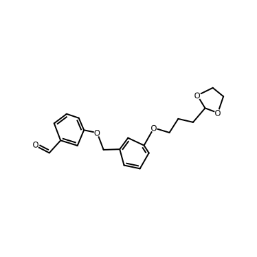 O=Cc1cccc(OCc2cccc(OCCCC3OCCO3)c2)c1